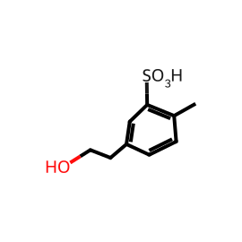 Cc1ccc(CCO)cc1S(=O)(=O)O